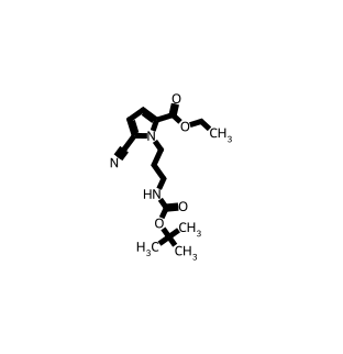 CCOC(=O)c1ccc(C#N)n1CCCNC(=O)OC(C)(C)C